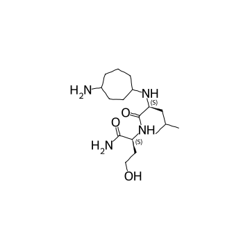 CC(C)C[C@H](NC1CCCC(N)CC1)C(=O)N[C@@H](CCO)C(N)=O